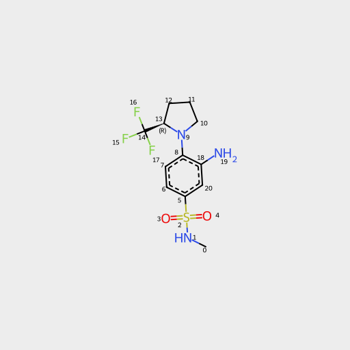 CNS(=O)(=O)c1ccc(N2CCC[C@@H]2C(F)(F)F)c(N)c1